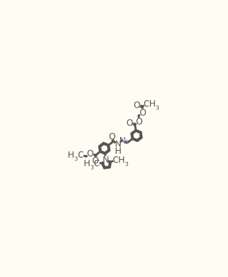 CCOC(=O)c1ccc(C(=O)N/N=C/c2cccc(C(=O)OCOC(C)=O)c2)cc1-n1c(C)ccc1C